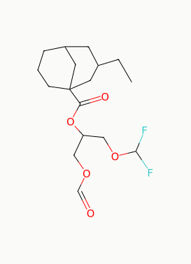 CCC1CC2CCCC(C(=O)OC(COC=O)COC(F)F)(C1)C2